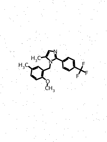 COc1ccc(C)cc1Cn1c(C)cnc1-c1ccc(C(F)(F)F)cc1